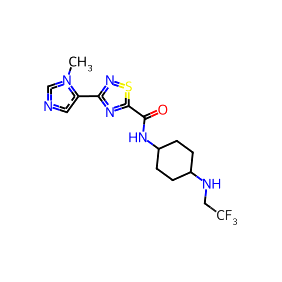 Cn1cncc1-c1nsc(C(=O)NC2CCC(NCC(F)(F)F)CC2)n1